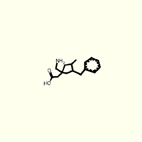 CC1CC(CN)(CC(=O)O)CC1Cc1ccccc1